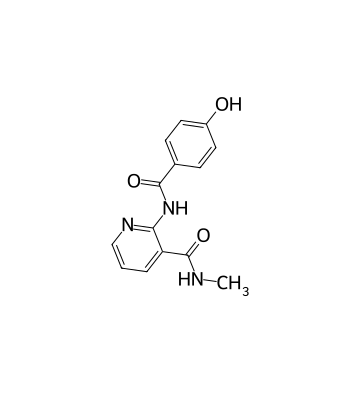 CNC(=O)c1cccnc1NC(=O)c1ccc(O)cc1